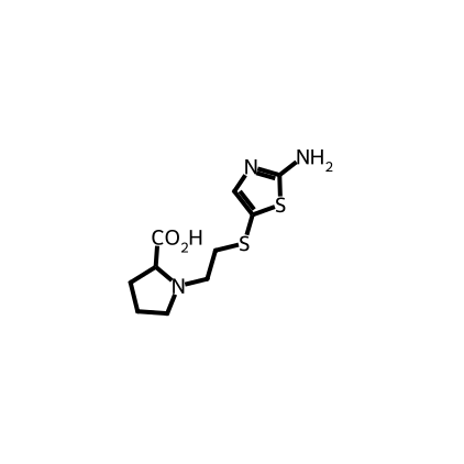 Nc1ncc(SCCN2CCCC2C(=O)O)s1